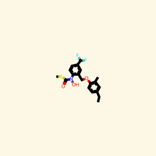 CCc1ccc(OCc2cc(C(F)F)ccc2N(O)C(=O)SC)c(C)c1